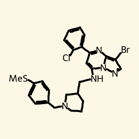 CSc1ccc(CN2CCCC(CNc3cc(-c4ccccc4Cl)nc4c(Br)cnn34)C2)cc1